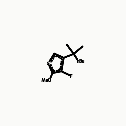 CCCCC(C)(C)c1csc(OC)c1F